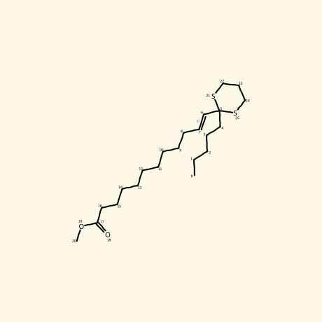 CCCCCC1(/C=C/CCCCCCCCCC(=O)OC)SCCCS1